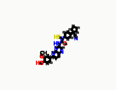 COc1cc(-c2ccc3ncc(NC(=O)N(S)c4ccc(C5(C#N)CCCC5)cc4)nc3n2)ccc1O